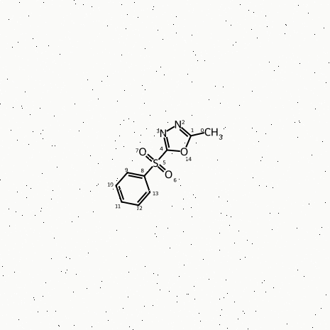 Cc1nnc(S(=O)(=O)c2ccccc2)o1